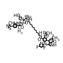 Cc1ncsc1-c1ccc([C@]2(C)NC([C@@H]3C[C@@H](O)CN3C(=O)C(NC(=O)CCCCCCCCCCNC(=O)c3cc4c(cc3CS(C)(=O)=O)-c3cn(C)c(=O)c5[nH]cc(c35)CN4c3ncc(F)cc3F)C(C)(C)C)=NC2=O)cc1